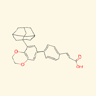 O=C(O)C=Cc1ccc(-c2cc3c(c(C45CC6CC(CC(C6)C4)C5)c2)OCCO3)cc1